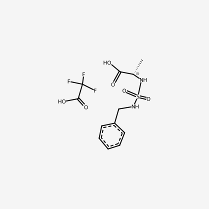 C[C@H](NS(=O)(=O)NCc1ccccc1)C(=O)O.O=C(O)C(F)(F)F